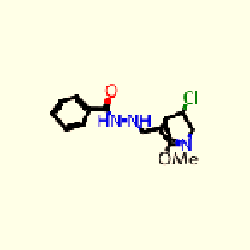 COC1C(CNNC(=O)c2ccccc2)C2CCN1CC2Cl